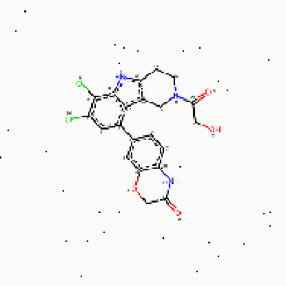 O=C1COc2cc(-c3cc(Cl)c(Cl)c4[nH]c5c(c34)CN(C(=O)CO)CC5)ccc2N1